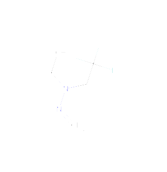 C=NN(CC)CC(F)(F)F